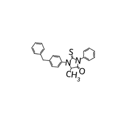 CC1C(=O)N(c2ccccc2)C(=S)N1c1ccc(Cc2ccccc2)cc1